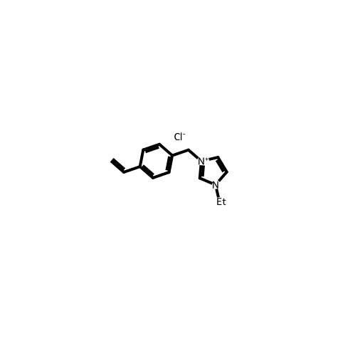 C=Cc1ccc(C[n+]2ccn(CC)c2)cc1.[Cl-]